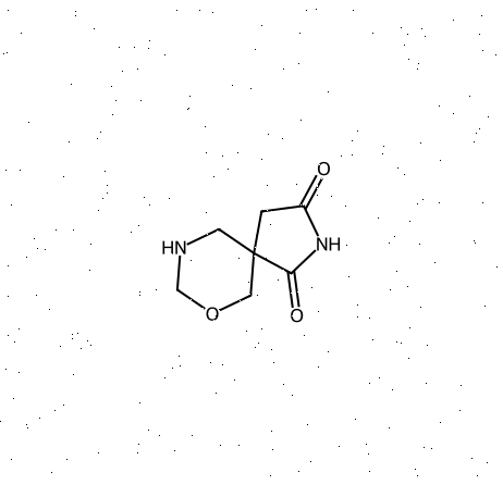 O=C1CC2(CNCOC2)C(=O)N1